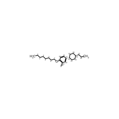 CCCCCCCCOc1ccc([C@H]2CC[C@H](CCC)CC2)cc1F